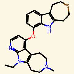 CCn1c2c(c3c(Oc4cccc5c6c([nH]c45)CCSCC6)ccnc31)CCN(C)CC2